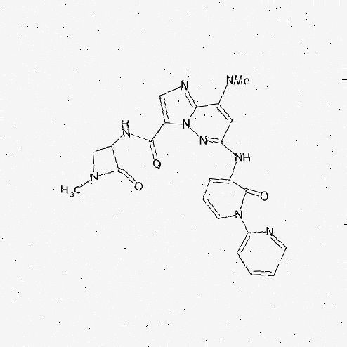 CNc1cc(Nc2cccn(-c3ccccn3)c2=O)nn2c(C(=O)NC3CN(C)C3=O)cnc12